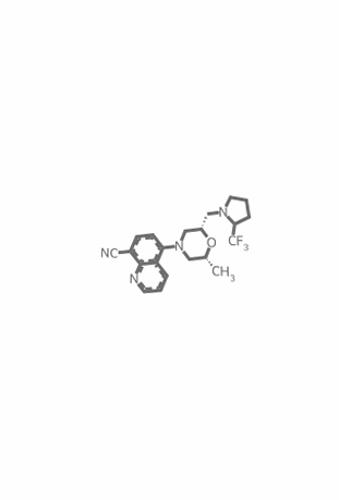 C[C@@H]1CN(c2ccc(C#N)c3ncccc23)C[C@H](CN2CCCC2C(F)(F)F)O1